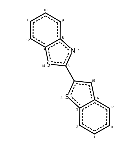 c1ccc2sc(-c3nc4ccccc4s3)cc2c1